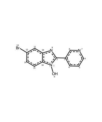 On1c(-c2cccnc2)nc2cc(Br)ccc21